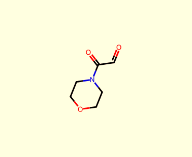 O=CC(=O)N1CCOCC1